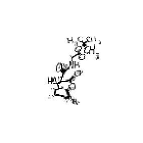 CC(C)(C)OC(=O)CNC(=O)c1c(O)c2cccc(Br)c2oc1=O